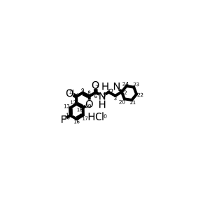 Cl.NC1(CCNC(=O)c2cc(=O)c3cc(F)ccc3o2)CCCCC1